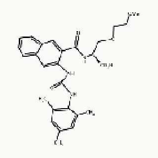 COCCOC[C@H](NC(=O)c1cc2ccccc2cc1NC(=O)Nc1c(C)cc(C)cc1C)C(=O)O